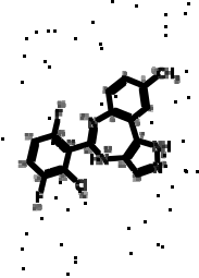 Cc1ccc2c(c1)-c1[nH]ncc1NC(c1c(F)ccc(F)c1Cl)=N2